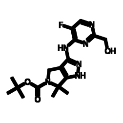 CC(C)(C)OC(=O)N1Cc2c(Nc3nc(CO)ncc3F)n[nH]c2C1(C)C